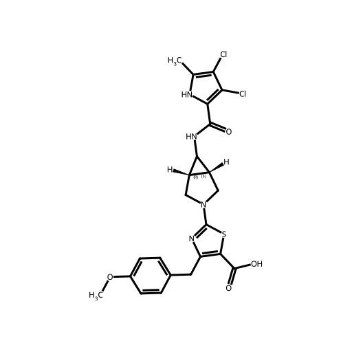 COc1ccc(Cc2nc(N3C[C@@H]4C(NC(=O)c5[nH]c(C)c(Cl)c5Cl)[C@@H]4C3)sc2C(=O)O)cc1